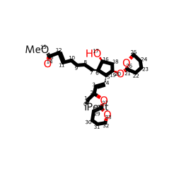 CCCC(C)CC(/C=C/[C@@H]1[C@@H](CCCC/C=C/C(=O)OC)[C@@H](O)C[C@H]1OC1CCCCO1)OC1CCCCO1